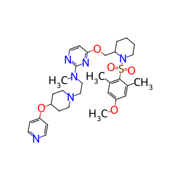 COc1cc(C)c(S(=O)(=O)N2CCCCC2COc2ccnc(N(C)CCN3CCC(Oc4ccncc4)CC3)n2)c(C)c1